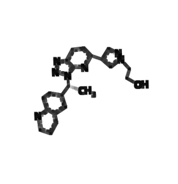 C[C@H](c1ccc2ncccc2c1)n1nnc2ccc(-c3cnn(CCO)c3)nc21